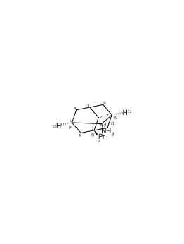 CC(C)[C@]12CC3C[C@H](C1)C(N)[C@@H](C3)C2